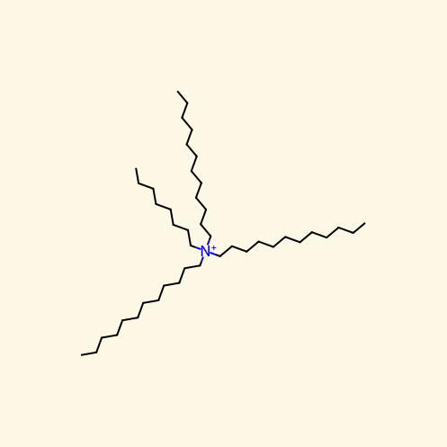 CCCCCCCCCCCC[N+](CCCCCCCC)(CCCCCCCCCCCC)CCCCCCCCCCCC